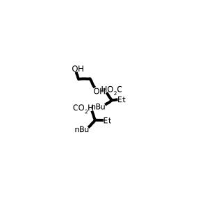 CCCCC(CC)C(=O)O.CCCCC(CC)C(=O)O.OCCO